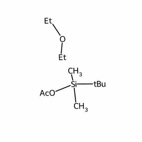 CC(=O)O[Si](C)(C)C(C)(C)C.CCOCC